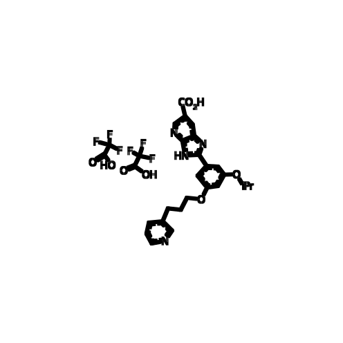 CC(C)Oc1cc(OCCCc2cccnc2)cc(-c2nc3cc(C(=O)O)cnc3[nH]2)c1.O=C(O)C(F)(F)F.O=C(O)C(F)(F)F